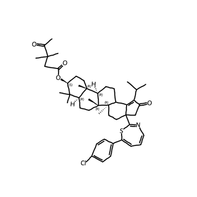 CC(=O)C(C)(C)CC(=O)O[C@H]1CC[C@]2(C)[C@H]3CCC4C5=C(C(C)C)C(=O)CC5(C5=NC=CC=C(c6ccc(Cl)cc6)S5)CC[C@@]4(C)[C@]3(C)CC[C@H]2C1(C)C